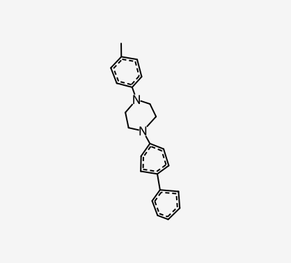 Cc1ccc(N2CCN(c3ccc(-c4ccccc4)cc3)CC2)cc1